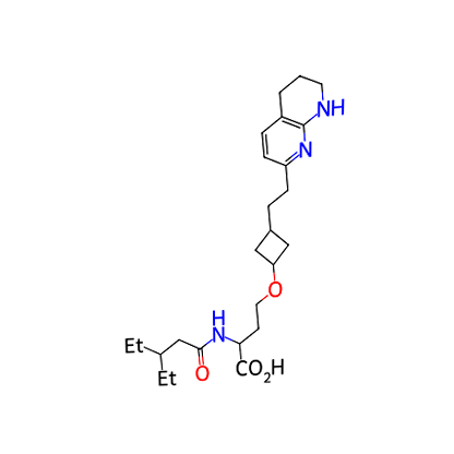 CCC(CC)CC(=O)NC(CCOC1CC(CCc2ccc3c(n2)NCCC3)C1)C(=O)O